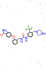 NC(=O)c1ccc(Oc2ccccc2CNC(=O)Nc2ccc(CN3CCNCC3)c(C(F)(F)F)c2)cc1